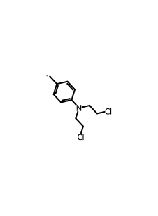 [CH2]c1ccc(N(CCCl)CCCl)cc1